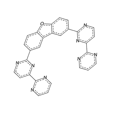 c1cnc(-c2ccnc(-c3ccc4oc5ccc(-c6nccc(-c7ncccn7)n6)cc5c4c3)n2)nc1